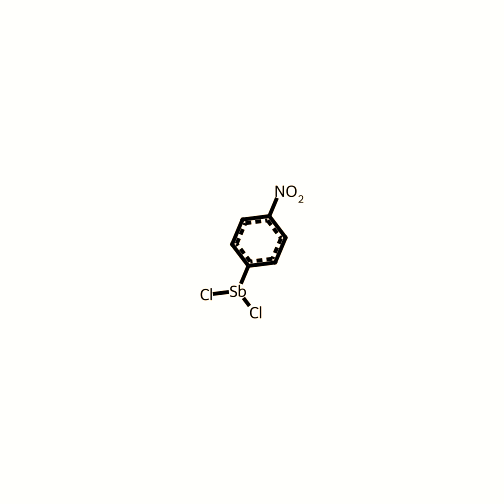 O=[N+]([O-])c1cc[c]([Sb]([Cl])[Cl])cc1